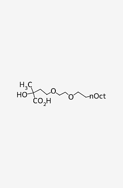 CCCCCCCCCCOCCOCCC(C)(O)C(=O)O